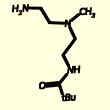 CN(CCN)CCNC(=O)C(C)(C)C